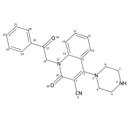 N#Cc1c(N2CCNCC2)c2ccccc2n(CC(=O)c2ccccc2)c1=O